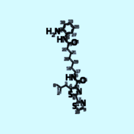 CC(C)Cc1sc(-c2nccs2)nc1C(=O)NCCCCCCC(=O)Nc1ccccc1N